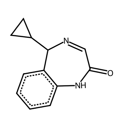 O=C1C=NC(C2CC2)c2ccccc2N1